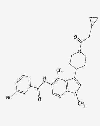 Cn1cc(C2CCN(C(=O)CC3CC3)CC2)c2c(C(F)(F)F)c(NC(=O)c3cccc(C#N)c3)cnc21